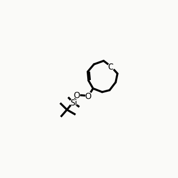 CC(C)(C)[Si](C)(C)OOC1C=CCCCCCCC1